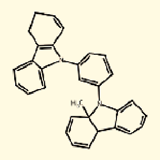 CC12C=CC=CC1c1ccccc1N2c1cccc(-n2c3c(c4ccccc42)CCC=C3)c1